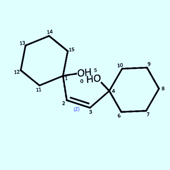 OC1(/C=C\C2(O)CCCCC2)CCCCC1